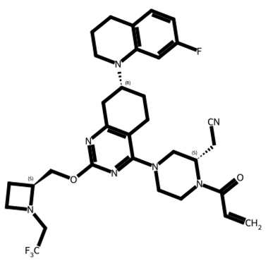 C=CC(=O)N1CCN(c2nc(OC[C@@H]3CCN3CC(F)(F)F)nc3c2CC[C@@H](N2CCCc4ccc(F)cc42)C3)C[C@@H]1CC#N